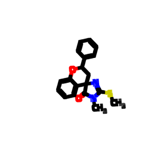 CSC1=NC2(CC(c3ccccc3)Oc3ccccc32)C(=O)N1C